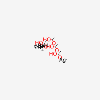 CC(=O)O.CC(=O)O.CC(=O)O.CC(=O)O.[Ag].[NaH].[NaH].[SiH4]